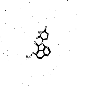 COc1ccc2cccc3c2c1C(=O)N3C1CCC(=O)NC1=O